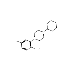 COc1ccc(Cl)cc1N1CCN(C2CCCCC2)CC1